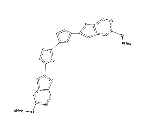 CCCCCCOc1cc2cc(-c3ccc(-c4ccc(-c5cc6cc(OCCCCCC)ncc6s5)s4)s3)sc2cn1